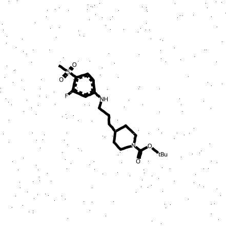 CC(C)(C)OC(=O)N1CCC(CCCNc2ccc(S(C)(=O)=O)c(F)c2)CC1